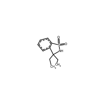 CCC1(CC)NS(=O)(=O)c2ccccc21